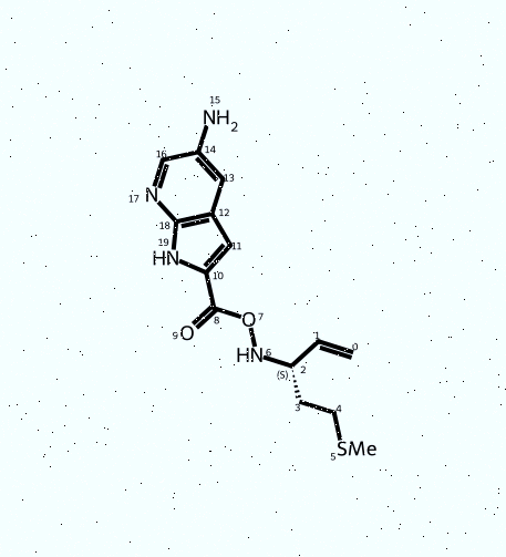 C=C[C@H](CCSC)NOC(=O)c1cc2cc(N)cnc2[nH]1